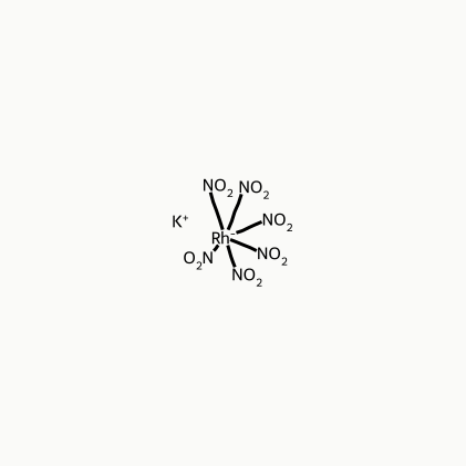 O=[N+]([O-])[Rh-]([N+](=O)[O-])([N+](=O)[O-])([N+](=O)[O-])([N+](=O)[O-])[N+](=O)[O-].[K+]